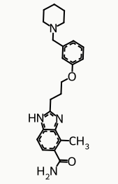 Cc1c(C(N)=O)ccc2[nH]c(CCCOc3cccc(CN4CCCCC4)c3)nc12